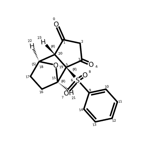 O=C1CC(=O)[C@]2(S(=O)(=O)c3ccccc3)[C@H]3CC[C@H](O3)[C@H]12